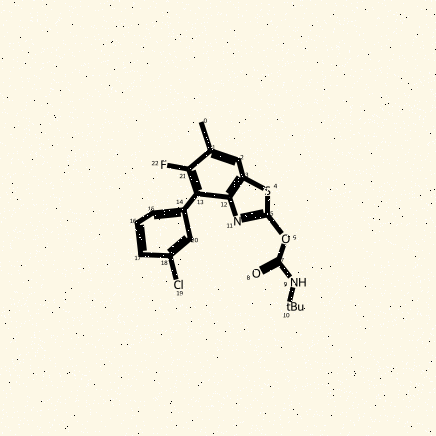 Cc1cc2sc(OC(=O)NC(C)(C)C)nc2c(-c2cccc(Cl)c2)c1F